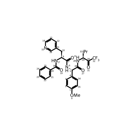 COc1ccc([C@H](NC(=O)[C@H](Cc2cccnc2)NC(=O)c2ccccc2)C(=O)N[C@H](C(=O)C(F)(F)F)C(C)C)cc1